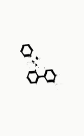 O=S(=O)(Nc1ccccc1-c1cccc(C(F)(F)F)c1)c1ccccc1